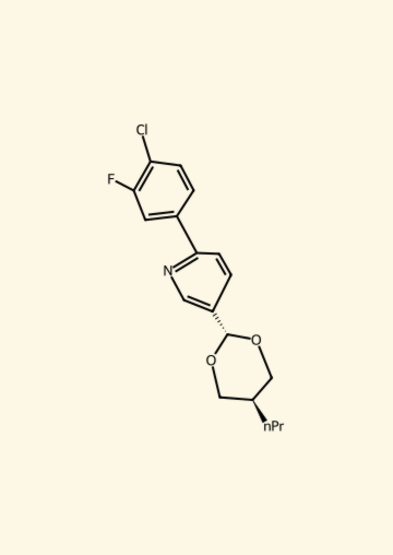 CCC[C@H]1CO[C@H](c2ccc(-c3ccc(Cl)c(F)c3)nc2)OC1